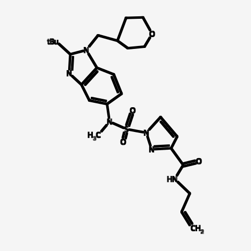 C=CCNC(=O)c1ccn(S(=O)(=O)N(C)c2ccc3c(c2)nc(C(C)(C)C)n3CC2CCOCC2)n1